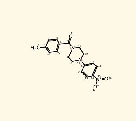 Cc1ccc(C(=O)N2CCN(c3ccc([N+](=O)[O-])cc3)CC2)cc1